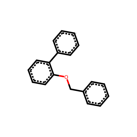 [c]1ccc(-c2ccccc2OCc2ccccc2)cc1